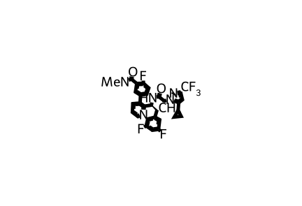 CNC(=O)c1cc(-c2cccnc2[C@H](Cc2cc(F)cc(F)c2)NC(=O)C(C)n2nc(C(F)(F)F)cc2C2CC2)ccc1F